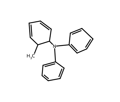 CC1C=CC=CC1N(c1ccccc1)c1ccccc1